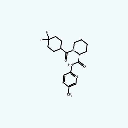 O=C(Nc1ccc(C(F)(F)F)cn1)[C@@H]1CCCCN1C(=O)C1CCC(F)(F)CC1